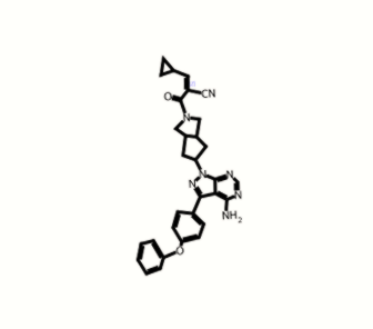 N#C/C(=C/C1CC1)C(=O)N1CC2CC(n3nc(-c4ccc(Oc5ccccc5)cc4)c4c(N)ncnc43)CC2C1